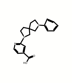 O=C(O)c1ccnc(N2CCC3(CCN(c4ccccc4)C3)C2)c1